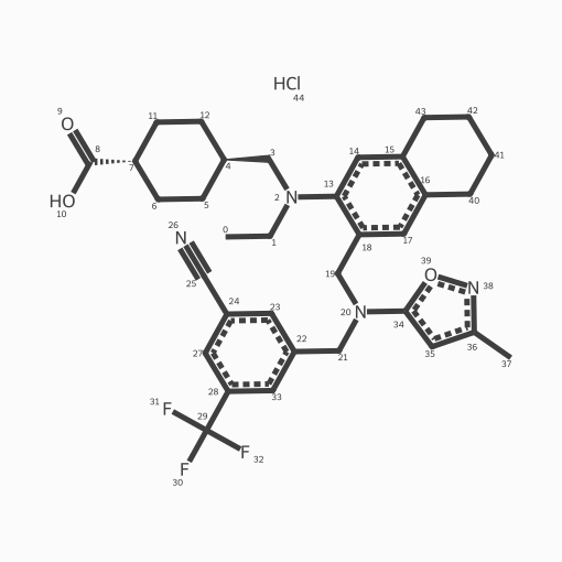 CCN(C[C@H]1CC[C@H](C(=O)O)CC1)c1cc2c(cc1CN(Cc1cc(C#N)cc(C(F)(F)F)c1)c1cc(C)no1)CCCC2.Cl